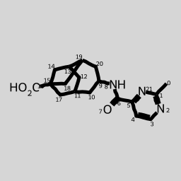 Cc1nccc(C(=O)NC2CC3CC4CC(C(=O)O)(C3)CC4C2)n1